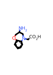 NC1COc2ccccc2N(CC(=O)O)C1